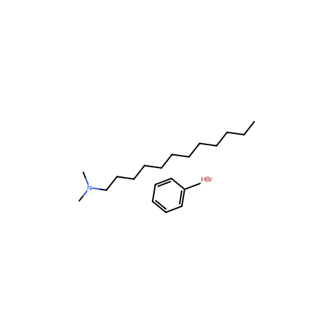 Br.CCCCCCCCCCCCN(C)C.Cc1ccccc1